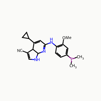 COc1cc(P(C)C)ccc1NC1=NC2NC=C(C#N)C2C(C2CC2)=C1